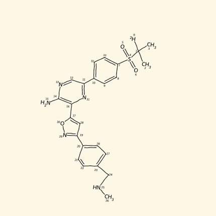 [2H]C(C)(C)S(=O)(=O)c1ccc(-c2cnc(N)c(-c3cc(-c4ccc(CNC)cc4)no3)n2)cc1